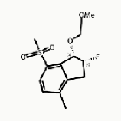 COCO[C@H]1c2c(S(C)(=O)=O)ccc(C)c2C[C@H]1F